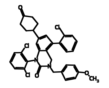 COc1ccc(CN2Cc3c(-c4ccccc4Cl)cc(C4CCC(=O)CC4)cc3N(c3c(Cl)cccc3Cl)C2=O)cc1